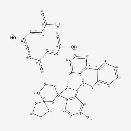 Fc1ccc(C2(CCNCc3ccccc3-c3ccncc3)CCOC3(CCCC3)C2)cc1.O=C(O)/C=C/C(=O)O.O=C(O)/C=C/C(=O)O